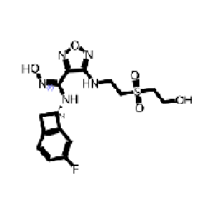 O=S(=O)(CCO)CCNc1nonc1/C(=N\O)N[C@H]1Cc2ccc(F)cc21